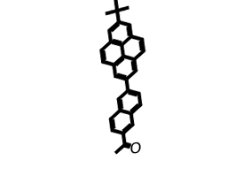 CC(=O)c1ccc2cc(-c3cc4ccc5cc(C(C)(C)C)cc6ccc(c3)c4c56)ccc2c1